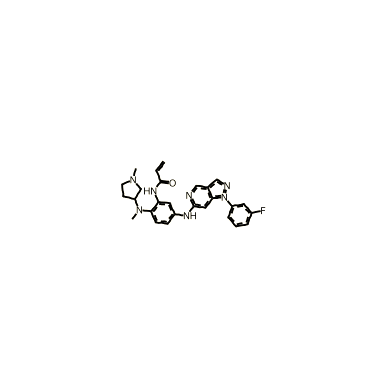 C=CC(=O)Nc1cc(Nc2cc3c(cn2)cnn3-c2cccc(F)c2)ccc1N(C)C1CCN(C)C1